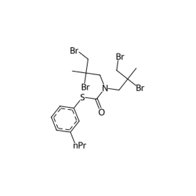 CCCc1cccc(SC(=O)N(CC(C)(Br)CBr)CC(C)(Br)CBr)c1